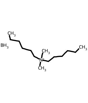 B.CCCCCC[N+](C)(C)CCCCCC